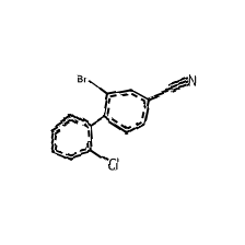 N#Cc1ccc(-c2ccccc2Cl)c(Br)c1